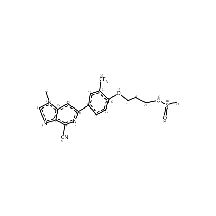 Cn1cnc2c(C#N)nc(-c3ccc(OCCCOS(C)=O)c(C(F)(F)F)c3)cc21